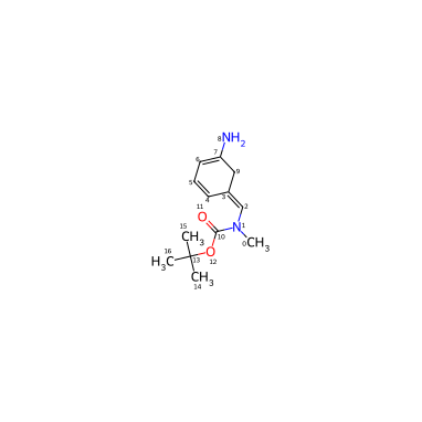 CN(C=C1C=CC=C(N)C1)C(=O)OC(C)(C)C